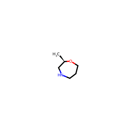 C[C@@H]1CNCCCO1